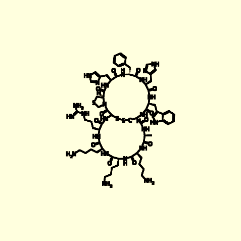 C[C@@H]1NC(=O)[C@@H]2CSSC(NC(=O)[C@H](CCCNC(=N)N)NC(=O)[C@H](CCCCN)NC(=O)[C@H](CCCCN)NC(=O)[C@H](CCCCN)NC1=O)C(=O)N1CSC[C@H]1C(=O)N[C@@H](Cc1c[nH]cn1)C(=O)N[C@H](Cc1ccccc1)C(=O)N[C@@H](Cc1c[nH]cn1)C(=O)N[C@@H](Cc1c[nH]c3ccccc13)C(=O)N2